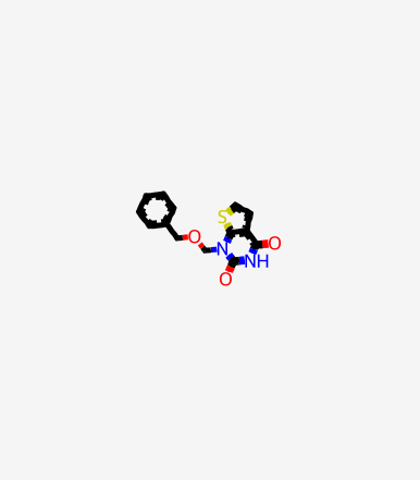 O=c1[nH]c(=O)n(COCc2ccccc2)c2sccc12